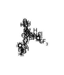 CCc1c(N2CCN(C(=O)c3ccccc3NS(=O)(=O)C3CC3)CC2)c(=O)n2nc(N3C[C@H]4COC[C@H]4C3)nc2n1CC(=O)Nc1ccc(C(F)(F)F)cc1Cl